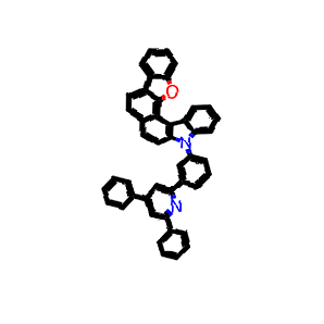 c1ccc(-c2cc(-c3ccccc3)nc(-c3cccc(-n4c5ccccc5c5c6c(ccc7c8ccccc8oc76)ccc54)c3)c2)cc1